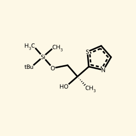 CC(C)(C)[Si](C)(C)OC[C@](C)(O)c1nccs1